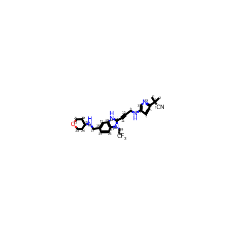 CC(C)(C#N)c1ccc(NCC#CC2Nc3cc(CNC4CCOCC4)ccc3N2CC(F)(F)F)cn1